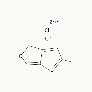 CC1=CC2=COCC2=C1.[Cl-].[Cl-].[Zr+2]